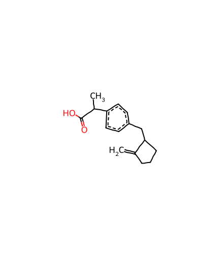 C=C1CCCC1Cc1ccc(C(C)C(=O)O)cc1